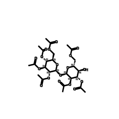 CC(=O)OC[C@H]1O[C@H](O[C@@H]2O[C@H](COC(C)=O)[C@@H](OC(C)=O)[C@H](OC(C)=O)[C@H]2OC(C)=O)[C@H](OC(C)=O)[C@@H](OC(C)=O)[C@@H]1O